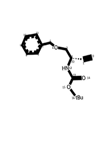 C#C[C@@H](COCc1ccccc1)NC(=O)OC(C)(C)C